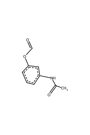 CC(=O)Nc1cccc(OC=O)c1